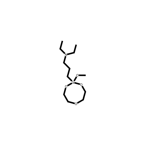 CCN(CC)CCC[Si]1(OC)OCCOCCO1